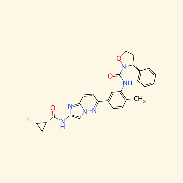 Cc1ccc(-c2ccc3nc(NC(=O)[C@@H]4C[C@@H]4F)cn3n2)cc1NC(=O)N1OCC[C@H]1c1ccccc1